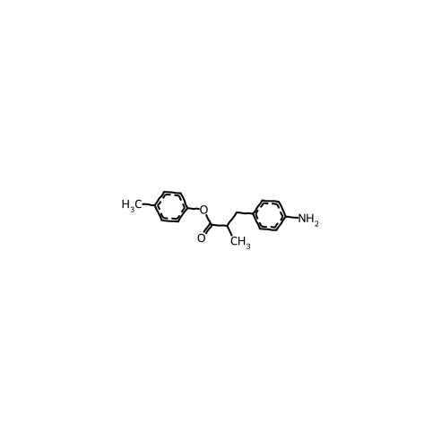 Cc1ccc(OC(=O)C(C)Cc2ccc(N)cc2)cc1